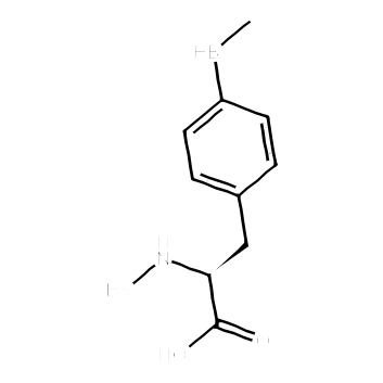 CBc1ccc(C[C@H](NS)C(=O)O)cc1